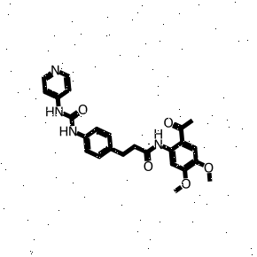 COc1cc(NC(=O)CCc2ccc(NC(=O)Nc3ccncc3)cc2)c(C(C)=O)cc1OC